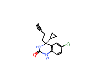 C#CCCC1(C2CC2)NC(=O)Nc2ccc(Cl)cc21